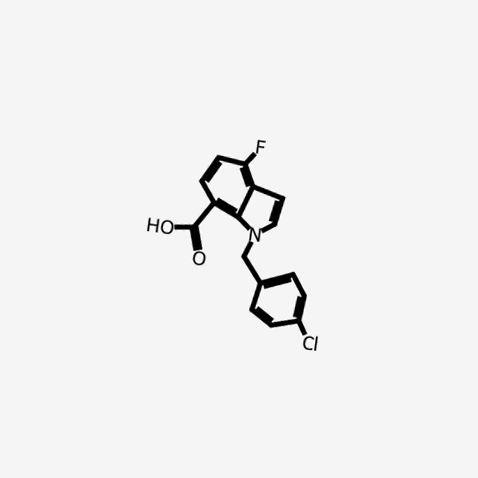 O=C(O)c1ccc(F)c2ccn(Cc3ccc(Cl)cc3)c12